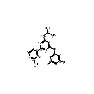 CC(C)Nc1cc(Nc2cc(F)cc(F)c2)nc(-c2ccnc(N)n2)n1